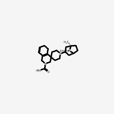 CCCCC(=O)N1CC2=C(CCC=C2)C2(CCN(C3CC4CC[C@](C)(C3)N4C(=O)OCC)CC2)C1